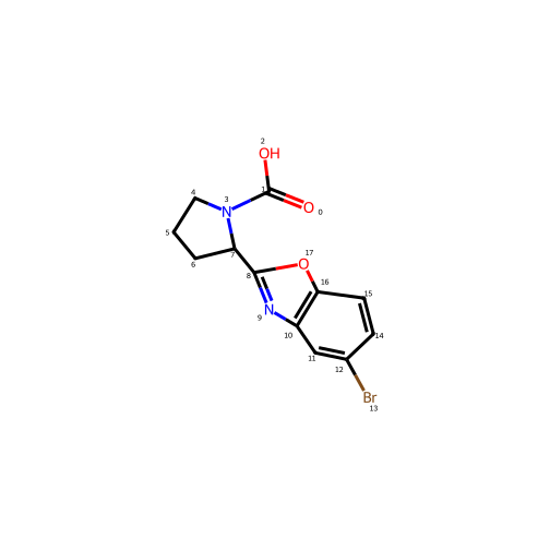 O=C(O)N1CCCC1c1nc2cc(Br)ccc2o1